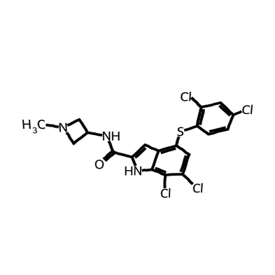 CN1CC(NC(=O)c2cc3c(Sc4ccc(Cl)cc4Cl)cc(Cl)c(Cl)c3[nH]2)C1